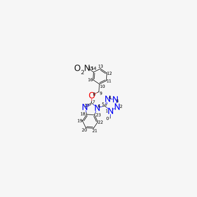 Cn1nnnc1-n1c(OCc2cccc([N+](=O)[O-])c2)nc2ccccc21